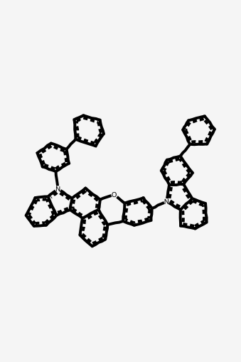 c1ccc(-c2cccc(-n3c4ccccc4c4c5cccc6c5c(cc43)Oc3cc(-n4c5ccccc5c5cc(-c7ccccc7)ccc54)ccc3-6)c2)cc1